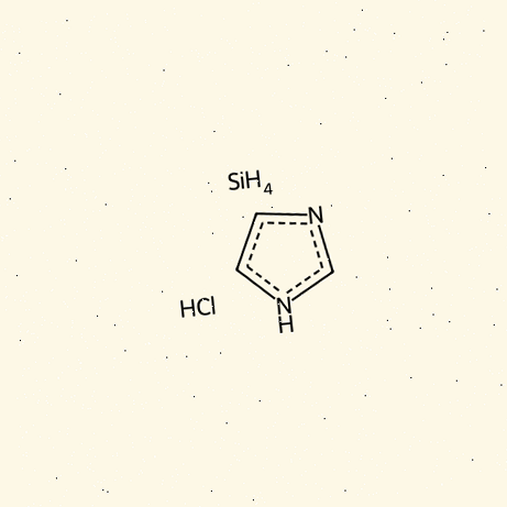 Cl.[SiH4].c1c[nH]cn1